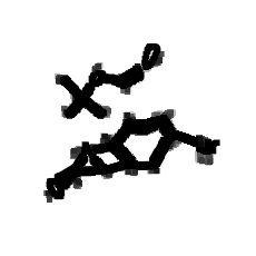 CC(C)(C)OC=O.O=C1C2c3cc(Br)ccc3N12